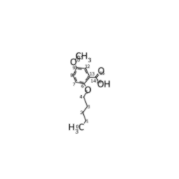 CCCCCOc1ccc(OC)cc1C(=O)O